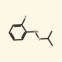 CC(C)SNc1ccccc1F